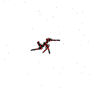 CCCCCCCCCCCCOCC1(CC)COc2c(C)sc(-c3ccc(-c4nnc(-c5ccc(-c6sc(-c7ccc(-c8ccc(C)s8)s7)c7c6OCC(CC)(COCCCCCCCCCCCC)CO7)s5)c5cc6c(cc45)C(=O)N(CC(CCCCCCCC)CCCCCCCCCC)C6=O)s3)c2OC1